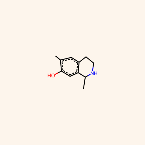 Cc1cc2c(cc1O)C(C)NCC2